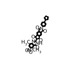 Cc1cc([N+](=O)[O-])c(C)c2c(=O)[nH]c(C3C(=O)c4cc5c(cc4C3=O)C(=O)N(c3ccc(C4=CCC=C4)cc3)C5=O)nc12